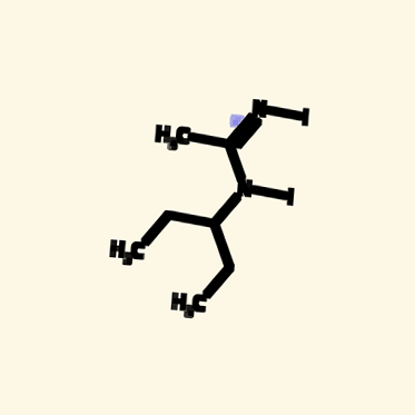 CCC(CC)N(I)/C(C)=N\I